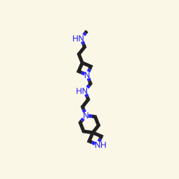 CNCCC1CN(CNCCN2CCC3(CC2)CNC3)C1